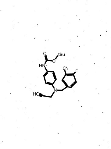 C#CCN(Cc1ccc(F)c(C#N)c1)c1ccc(NC(=O)OC(C)(C)C)cc1